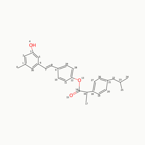 Cc1cc(O)cc(/C=C/c2ccc(OC(=O)C(C)c3ccc(CC(C)C)cc3)cc2)c1